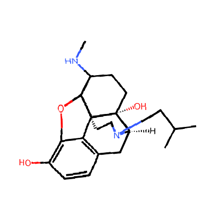 CNC1CC[C@@]2(O)[C@H]3Cc4ccc(O)c5c4[C@@]2(CCN3CC(C)C)C1O5